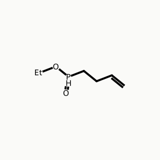 C=CCC[PH](=O)OCC